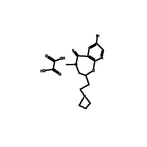 CN1CC(CCN2CCC2)Oc2ncc(Br)cc2C1=S.O=C(O)C(=O)O